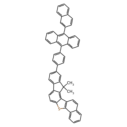 CC1(C)c2cc(-c3ccc(-c4c5ccccc5c(-c5ccc6ccccc6c5)c5ccccc45)cc3)ccc2-c2ccc3sc4c5ccccc5ccc4c3c21